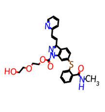 CNC(=O)c1ccccc1Sc1ccc2c(/C=C/c3ccccn3)nn(C(=O)OCCOCCO)c2c1